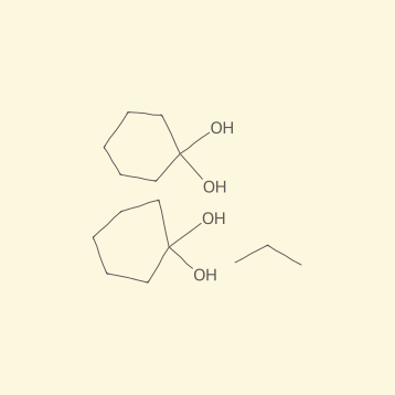 CCC.OC1(O)CCCCC1.OC1(O)CCCCC1